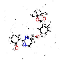 COc1ccccc1-c1nccc(COc2ccc(C)c(B3OC(C)(C)C(C)(C)O3)c2)n1